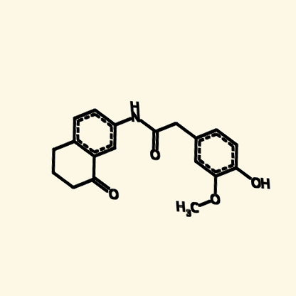 COc1cc(CC(=O)Nc2ccc3c(c2)C(=O)CCC3)ccc1O